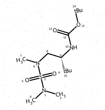 CN(C)S(=O)(=O)N(C)C[C@H](NC(=O)OC(C)(C)C)C(C)(C)C